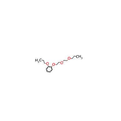 CCCOCCOCCOc1ccccc1OCCC